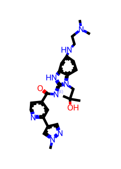 CN(C)CCNc1ccc2c(c1)[nH]/c(=N\C(=O)c1ccnc(-c3cnn(C)c3)c1)n2CC(C)(C)O